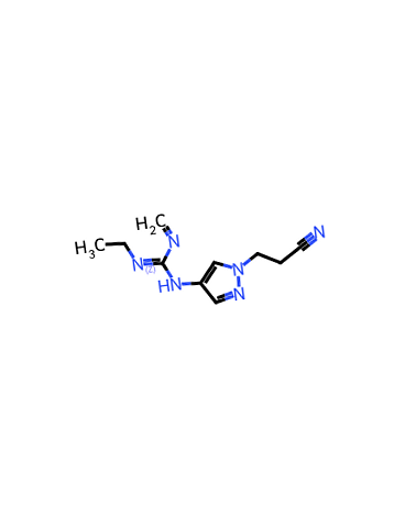 C=N/C(=N\CC)Nc1cnn(CCC#N)c1